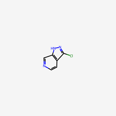 Clc1n[nH]c2cnccc12